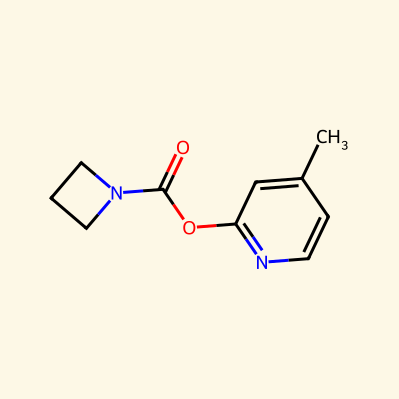 Cc1ccnc(OC(=O)N2CCC2)c1